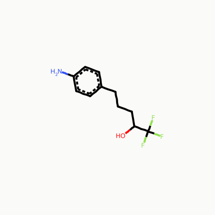 Nc1ccc(CCCC(O)C(F)(F)F)cc1